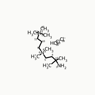 CC(C)(N)CC[N+](C)(C)CCC[N+](C)(C)C.Cl.[Cl-].[Cl-]